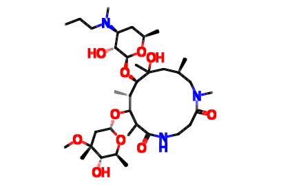 CCCN(C)[C@H]1C[C@@H](C)O[C@@H](O[C@@H]2[C@@H](C)C(O[C@H]3C[C@@](C)(OC)[C@@H](O)[C@H](C)O3)C(C)C(=O)NCCC(=O)N(C)C[C@H](C)CC2(C)O)[C@@H]1O